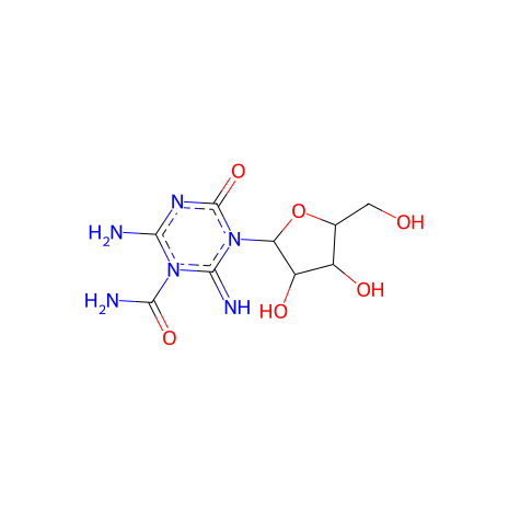 N=c1n(C(N)=O)c(N)nc(=O)n1C1OC(CO)C(O)C1O